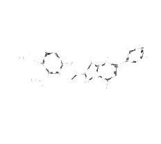 COc1ccc(NC(=O)c2nn3c(C(F)(F)F)cc(-c4cccs4)nc3c2Cl)cc1OC